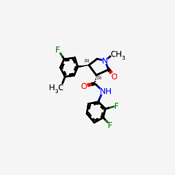 Cc1cc(F)cc([C@H]2CN(C)C(=O)[C@@H]2C(=O)Nc2cccc(F)c2F)c1